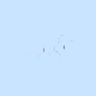 CNc1cc(O)c(NC(=O)NCCO)cc1OC